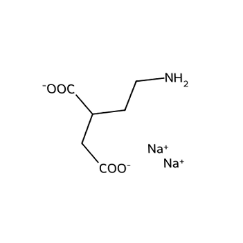 NCCC(CC(=O)[O-])C(=O)[O-].[Na+].[Na+]